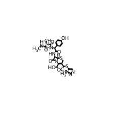 CNC(=O)N(C)C(=O)NC(C(=O)NC1C(=O)N2C(C(=O)O)=C(C(C)Sc3cnn[nH]3)CS[C@@H]12)c1ccc(O)cc1